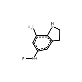 Cc1cc(NC(C)C)cc2c1BCC2